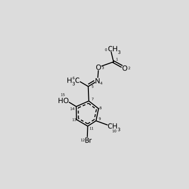 CC(=O)O/N=C(\C)c1cc(C)c(Br)cc1O